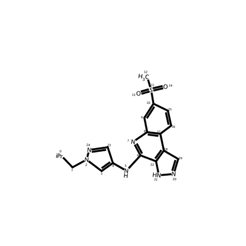 CC(C)Cn1cc(Nc2nc3cc(S(C)(=O)=O)ccc3c3cn[nH]c23)cn1